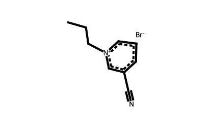 CCC[n+]1cccc(C#N)c1.[Br-]